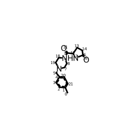 Cc1ccc(CN2CCN(C(=O)C3CCC(=O)N3)CC2)cc1